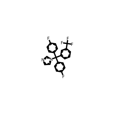 Fc1ccc(C(c2ccc(F)cc2)(c2cccc(C(F)(F)F)c2)n2ccnc2)cc1